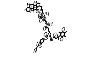 CC1=C(C)C(=O)C(C(C)(C)CC(=O)N(C)CCN(CCCC(=O)NCCCCC(NC(=O)CC[C@@H](C)[C@H]2CC[C@H]3[C@@H]4CC[C@@H]5C[C@H](C)CC[C@]5(C)[C@H]4C[C@H](O)[C@]23C)C(=O)O)C(=O)Oc2ccc3nc(C#N)sc3c2)=C(C)C1=O